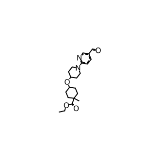 CCOC(=O)C1(C)CCC(OC2CCN(c3ccc(C=O)cn3)CC2)CC1